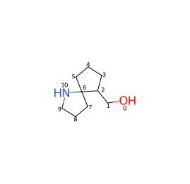 OCC1CCCC12CCCN2